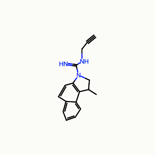 C#CCNC(=N)N1CC(C)c2c1ccc1ccccc21